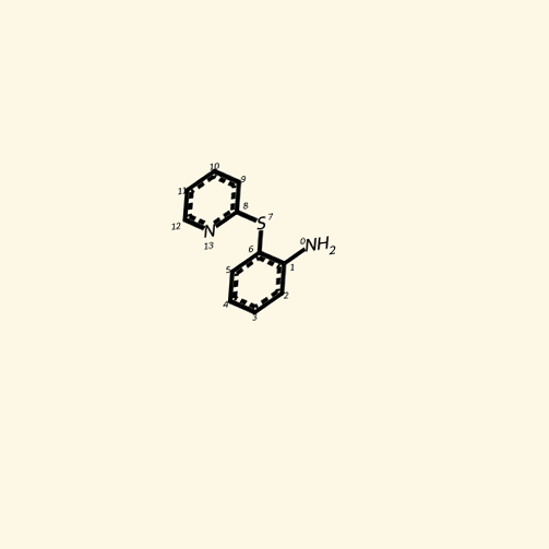 Nc1ccccc1Sc1ccccn1